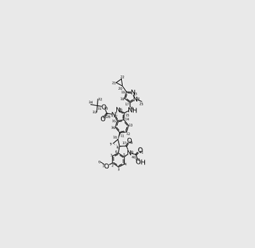 COc1ccc2c(c1)[C@]1(C[C@H]1c1ccc3c(Nc4cc(C5CC5)nn4C)nn(C(=O)OC(C)(C)C)c3c1)C(=O)N2C(=O)O